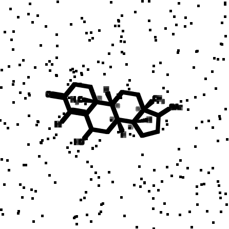 CCC1=C2C(O)C[C@@H]3[C@@H](CC[C@]4(C)C(OC(C)=O)CC[C@@H]34)[C@@]2(C)CCC1=O